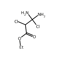 CCOC(=O)C(Cl)C(N)(N)Cl